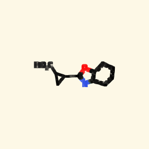 CCOC(=O)C1CC1c1nc2ccccc2o1